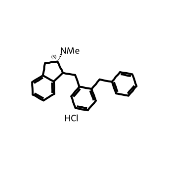 CN[C@H]1Cc2ccccc2C1Cc1ccccc1Cc1ccccc1.Cl